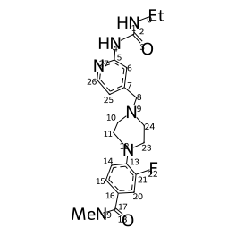 CCNC(=O)Nc1cc(CN2CCN(c3ccc(C(=O)NC)cc3F)CC2)ccn1